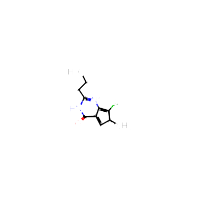 CCCc1nc2c(c(=O)[nH]1)=CC(C)C=2Cl